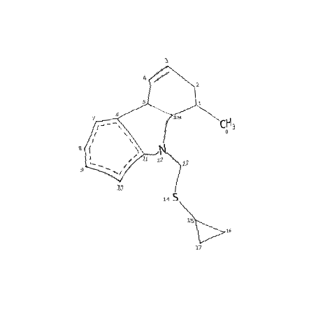 CC1CC=CC2c3ccccc3N(CSC3CC3)C12